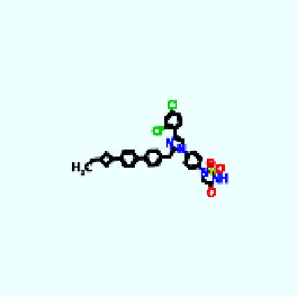 CCC1CC(c2ccc(-c3ccc(Cc4nc(-c5ccc(Cl)cc5Cl)cn4-c4ccc(N5CC(=O)NS5(=O)=O)cc4)cc3)cc2)C1